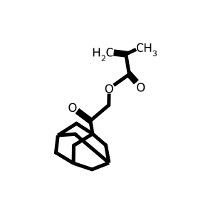 C=C(C)C(=O)OCC(=O)C12CC3CC(CC(C3)C1)C2